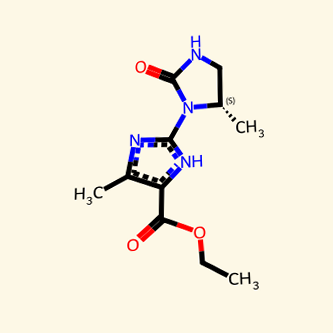 CCOC(=O)c1[nH]c(N2C(=O)NC[C@@H]2C)nc1C